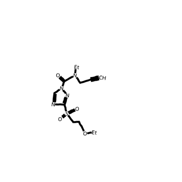 C#CCN(CC)C(=O)n1cnc(S(=O)(=O)CCOCC)n1